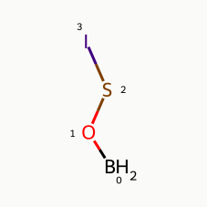 BOSI